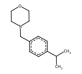 CC(C)c1ccc(CN2CCOCC2)cc1